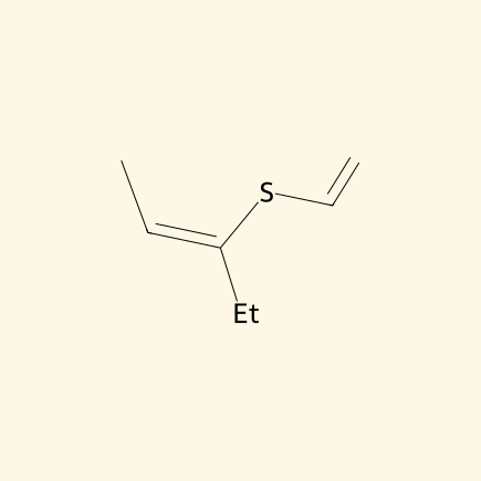 C=CS/C(=C\C)CC